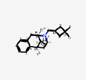 C[C@@H]1[C@H]2Cc3ccccc3[C@]1(C)CCN2CC1CC(C)(C)C1